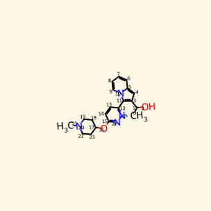 CC(O)c1cc2ccccn2c1-c1ccc(OC2CCN(C)CC2)nn1